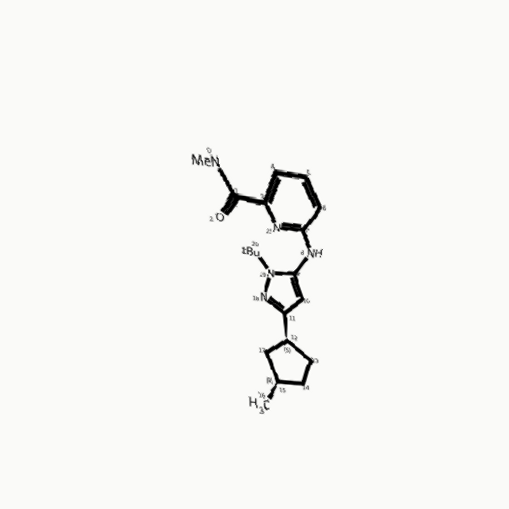 CNC(=O)c1cccc(Nc2cc([C@H]3CC[C@@H](C)C3)nn2C(C)(C)C)n1